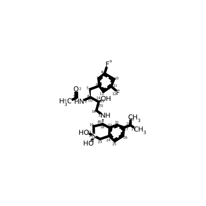 CC(=O)N[C@@H](Cc1cc(F)cc(F)c1)[C@@H](O)CN[C@H]1CS(O)(O)Cc2ccc(C(C)C)cc21